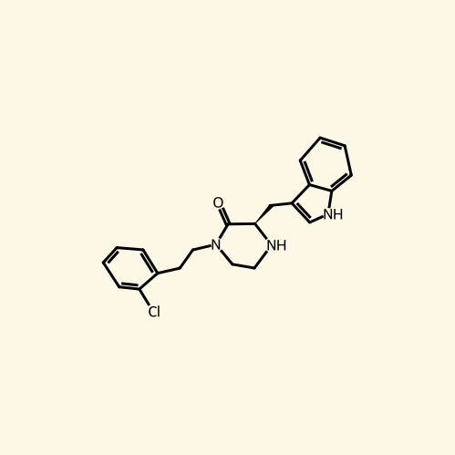 O=C1[C@@H](Cc2c[nH]c3ccccc23)NCCN1CCc1ccccc1Cl